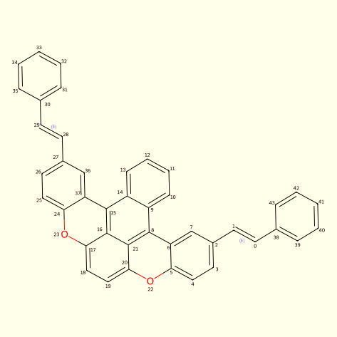 C(=C\c1ccc2c(c1)-c1c3ccccc3c3c4c(ccc(c14)O2)Oc1ccc(/C=C/c2ccccc2)cc1-3)/c1ccccc1